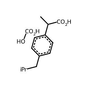 CC(C)Cc1ccc(C(C)C(=O)O)cc1.O=C(O)O